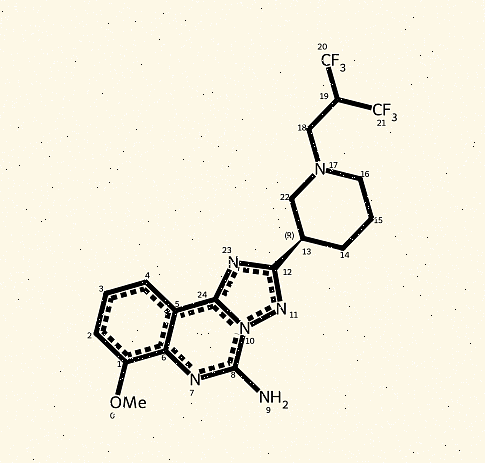 COc1cccc2c1nc(N)n1nc([C@@H]3CCCN(CC(C(F)(F)F)C(F)(F)F)C3)nc21